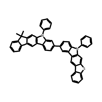 CC1(C)c2ccccc2-c2cc3c4ccc(-c5ccc6c(c5)c5cc7c(cc5n6-c5ccccc5)sc5ccccc57)cc4n(-c4ccccc4)c3cc21